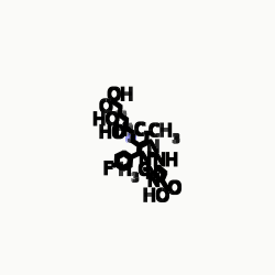 CC(C)c1nc(Nc2cc(C(=O)O)nn2C)nc(-c2ccc(F)cc2)c1/C=C/[C@@H](O)C[C@@H](O)CC(=O)O